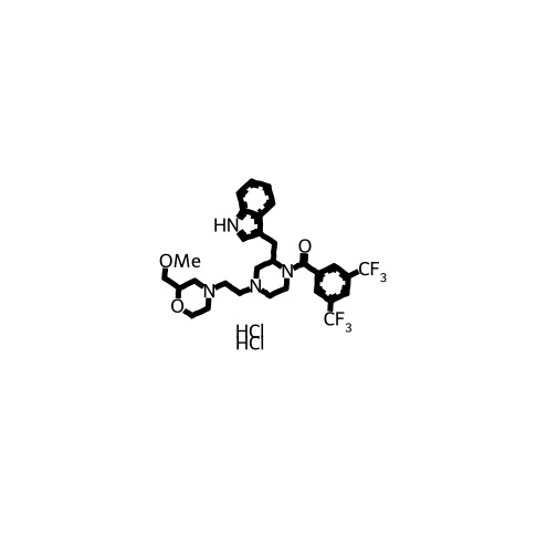 COCC1CN(CCN2CCN(C(=O)c3cc(C(F)(F)F)cc(C(F)(F)F)c3)C(Cc3c[nH]c4ccccc34)C2)CCO1.Cl.Cl